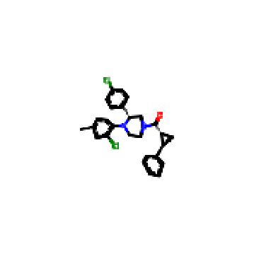 Cc1ccc(N2CCN(C(=O)[C@@H]3C[C@H]3c3ccccc3)C[C@H]2c2ccc(Cl)cc2)c(Cl)c1